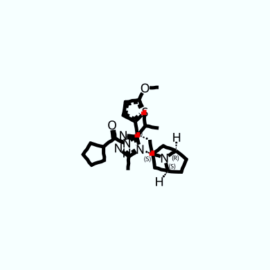 COc1ccc([C@H](CCN2[C@@H]3CC[C@H]2C[C@H](n2c(C)nnc2C(C)C)C3)NC(=O)C2CCCC2)s1